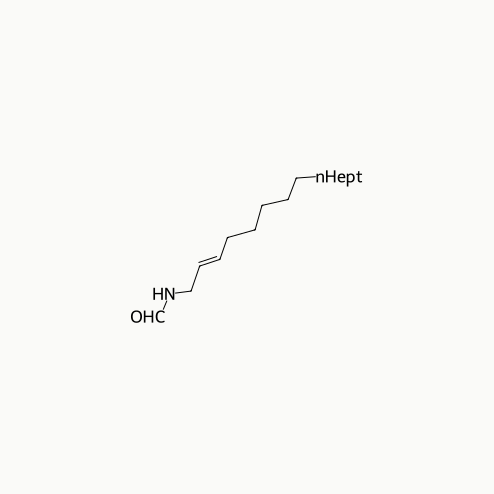 CCCCCCCCCCCC/C=C/CNC=O